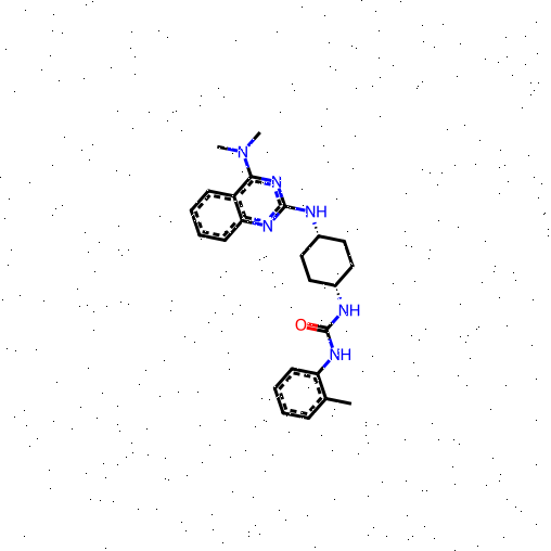 Cc1ccccc1NC(=O)N[C@H]1CC[C@@H](Nc2nc(N(C)C)c3ccccc3n2)CC1